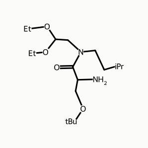 CCOC(CN(CCC(C)C)C(=O)C(N)COC(C)(C)C)OCC